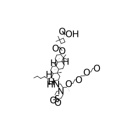 CCCC[C@@H]1CC[C@]2(NCC([C@@H](C)OCCOCCOCCOC)N3CCS(=O)(=O)CC3)CC[C@]3(C)[C@H](CC[C@@H]4[C@@]5(C)CC[C@H](OC(=O)[C@H]6C[C@@H](C(=O)O)C6(C)C)C(C)(C)[C@@H]5CC[C@]43C)[C@@H]12